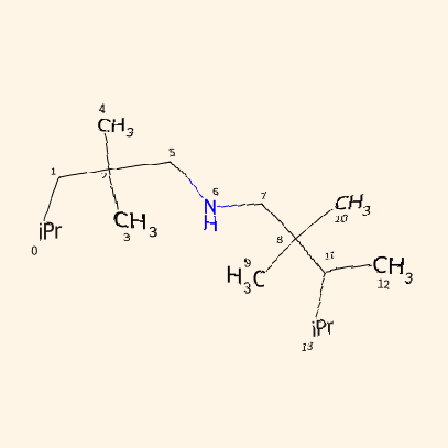 CC(C)CC(C)(C)CNCC(C)(C)C(C)C(C)C